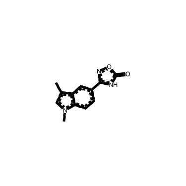 Cc1cn(C)c2ccc(-c3noc(=O)[nH]3)cc12